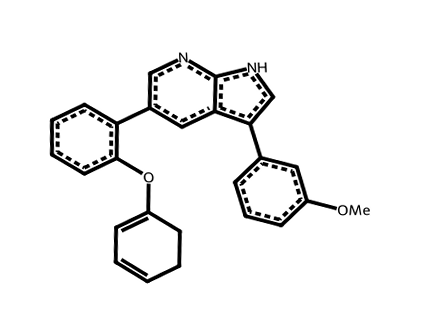 COc1cccc(-c2c[nH]c3ncc(-c4ccccc4OC4=CC=CCC4)cc23)c1